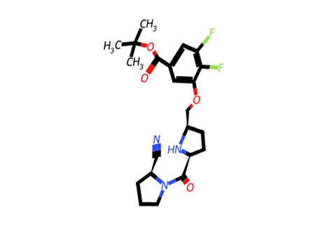 CC(C)(C)OC(=O)c1cc(F)c(F)c(OC[C@H]2CC[C@@H](C(=O)N3CCC[C@H]3C#N)N2)c1